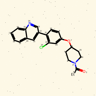 CCC(=O)N1CCC(Oc2ccc(-c3cnc4ccccc4c3)c(Cl)c2)CC1